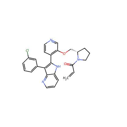 C=CC(=O)N1CCC[C@H]1COc1cnccc1-c1[nH]c2cccnc2c1-c1cccc(Cl)c1